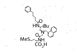 CC[C@H](C)[C@@H](CN(CC(=O)N[C@@H](CCSC)C(=O)O)Cc1cccc2ccccc12)NC(=O)CCCCc1ccccc1